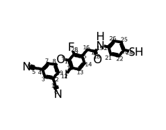 N#Cc1cc(C#N)cc(Oc2c(I)ccc(CC(=O)Nc3ccc(S)cc3)c2F)c1